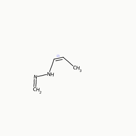 C=NN/C=C\C